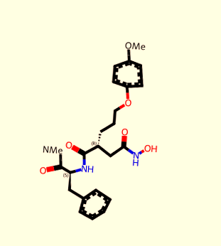 CNC(=O)[C@H](Cc1ccccc1)NC(=O)[C@H](CCCOc1ccc(OC)cc1)CC(=O)NO